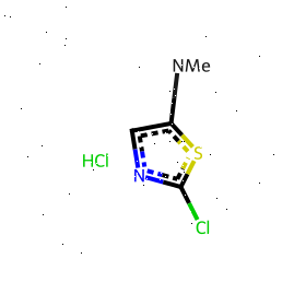 CNc1cnc(Cl)s1.Cl